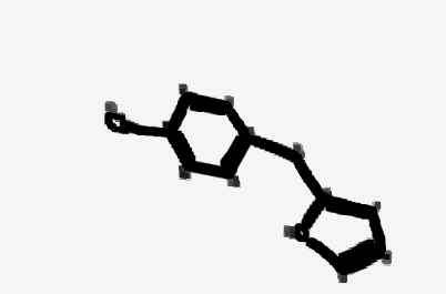 Clc1ccc(Cc2ccco2)cc1